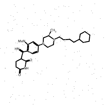 CNc1cc(N2CCN(CCCCC3CCCCC3)[C@H](C)C2)ccc1C(=N)C1CCC(=O)NC1=O